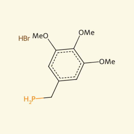 Br.COc1cc(CP)cc(OC)c1OC